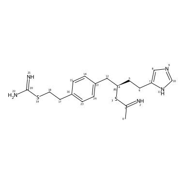 CC(=N)S[C@H](CCc1cnc[nH]1)Cc1ccc(CCSC(=N)N)cc1